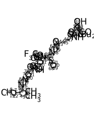 CC1(C)CCC(c2ccc(Cl)cc2)=C(CN2CCN(c3ccc(C(=O)NS(=O)(=O)c4ccc(N[C@H](CCN5CCN(C(=O)CCCCCC(=O)N[C@H](C(=O)N6C[C@H](O)C[C@H]6C(=O)O)C(C)(C)C)CC5)CSc5ccccc5)c(S(=O)(=O)C(F)(F)F)c4)cc3)CC2)C1